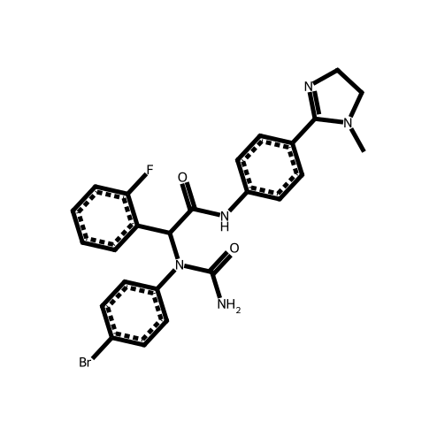 CN1CCN=C1c1ccc(NC(=O)C(c2ccccc2F)N(C(N)=O)c2ccc(Br)cc2)cc1